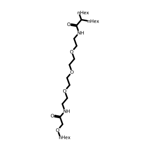 CCCCCCOCC(=O)NCCOCCOCCOCCNC(=O)C(CCCCCC)CCCCCC